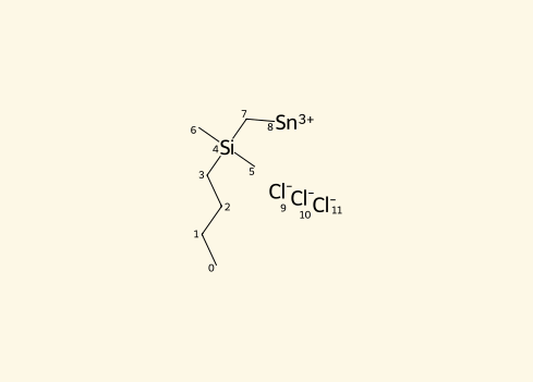 CCCC[Si](C)(C)[CH2][Sn+3].[Cl-].[Cl-].[Cl-]